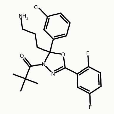 CC(C)(C)C(=O)N1N=C(c2cc(F)ccc2F)OC1(CCCN)c1cccc(Cl)c1